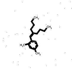 CCCCC(=Cc1ccc(C)cc1C)CCCC